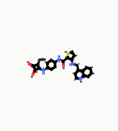 CNc1c(Nc2ccc(NC(=O)c3sccc3NCc3ccnc4ccccc34)cc2)c(=O)c1=O